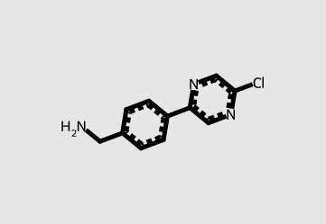 NCc1ccc(-c2cnc(Cl)cn2)cc1